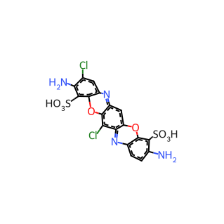 Nc1ccc2c(c1S(=O)(=O)O)Oc1cc3c(c(Cl)c1=N2)Oc1c(cc(Cl)c(N)c1S(=O)(=O)O)N=3